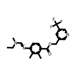 CCN(C)/C=N/c1ccc(C(=O)OCc2cncc(C(F)(F)F)c2)c(C)c1C